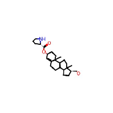 CC12CC[C@H](OC(=O)[C@@H]3CCCN3)C=C1CCC1C2CCC2(C)C1CC[C@@H]2C=O